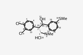 CNC[C@H](c1ccc(Cl)c(Cl)c1)[C@@H](O)c1cccc(SC)c1.Cl